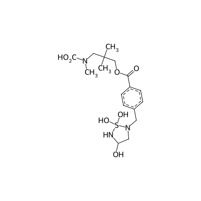 CN(CC(C)(C)COC(=O)c1ccc(CN2CC(O)NS2(O)O)cc1)C(=O)O